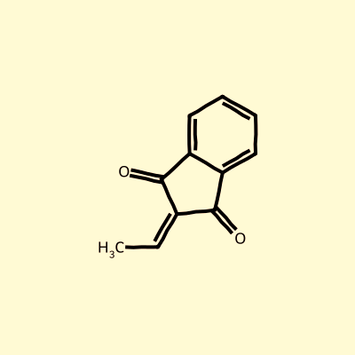 CC=C1C(=O)c2ccccc2C1=O